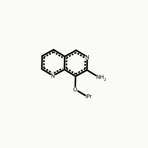 CC(C)Oc1c(N)ncc2cccnc12